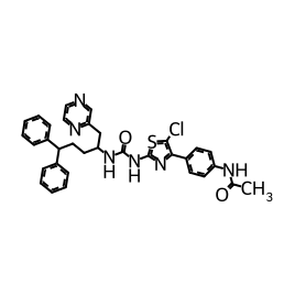 CC(=O)Nc1ccc(-c2nc(NC(=O)NC(CCC(c3ccccc3)c3ccccc3)Cc3cnccn3)sc2Cl)cc1